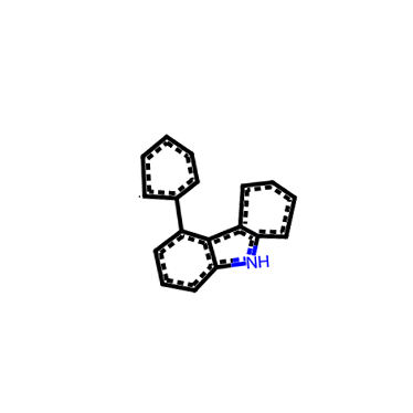 [c]1ccccc1-c1cccc2[nH]c3ccccc3c12